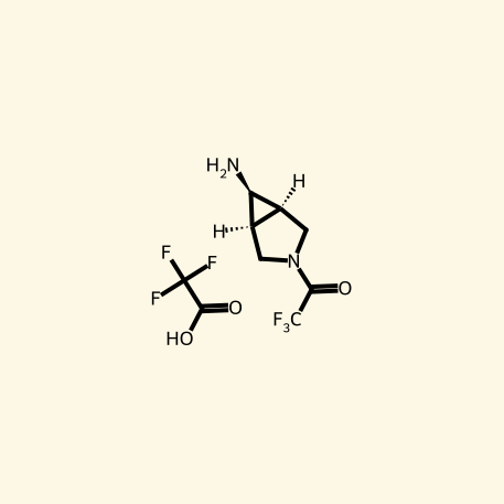 N[C@H]1[C@H]2CN(C(=O)C(F)(F)F)C[C@@H]12.O=C(O)C(F)(F)F